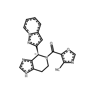 N#Cc1ncoc1C(=O)N1CCc2[nH]cnc2[C@H]1c1cc2ccccn2n1